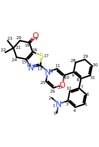 CN(C)c1cccc(C2=C(C3=CN(c4nc5c(s4)C(=O)CC(C)(C)C5)C=CO3)CCC=C2)c1